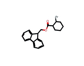 CC(C)C1CCCCC1C(=O)OCC1c2ccccc2-c2ccccc21